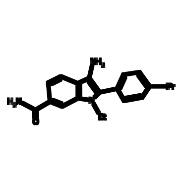 CCn1c(-c2ccc(C(C)C)cc2)c(N)c2ccc(C(N)=O)cc21